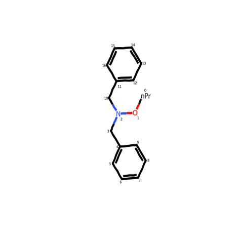 CCCON(Cc1ccccc1)Cc1ccccc1